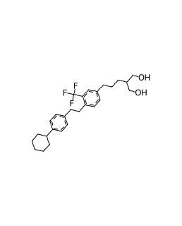 OCC(CO)CCCc1ccc(CCc2ccc(C3CCCCC3)cc2)c(C(F)(F)F)c1